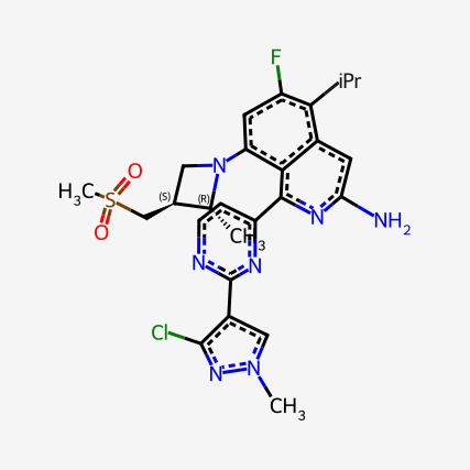 CC(C)c1c(F)cc(N2C[C@H](CS(C)(=O)=O)[C@H]2C)c2c(-c3ccnc(-c4cn(C)nc4Cl)n3)nc(N)cc12